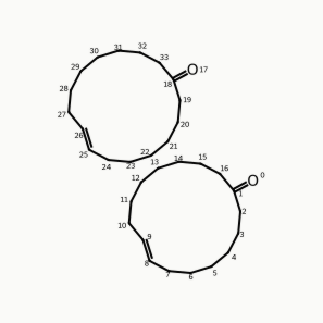 O=C1CCCCCC/C=C/CCCCCCC1.O=C1CCCCCC/C=C/CCCCCCC1